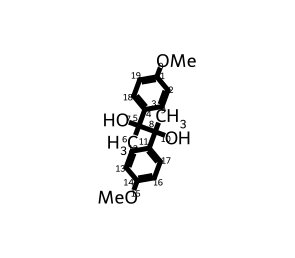 COc1ccc(C(C)(O)C(C)(O)c2ccc(OC)cc2)cc1